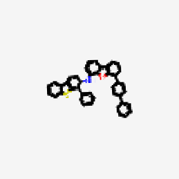 c1ccc(-c2ccc(-c3cccc4c3oc3c(Nc5ccc6c(sc7ccccc76)c5-c5ccccc5)cccc34)cc2)cc1